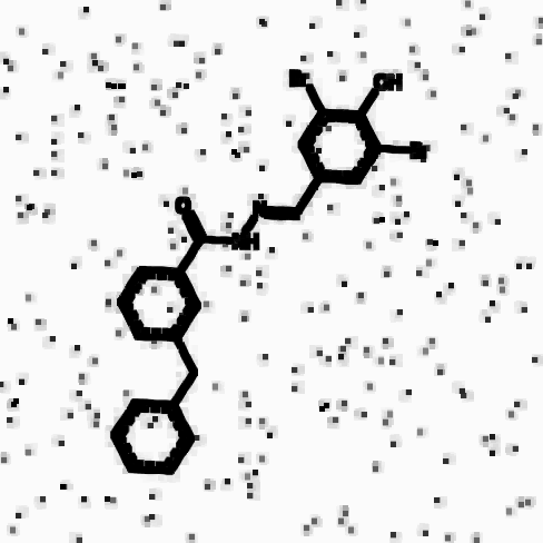 O=C(NN=Cc1cc(Br)c(O)c(Br)c1)c1cccc(Cc2ccccc2)c1